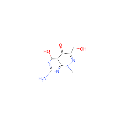 Cn1nc(CO)c(=O)c2c(O)nc(N)nc21